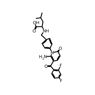 CC(C)CC(NCc1ccc(-n2c(N)c(C(=O)c3ccc(F)cc3F)ccc2=O)cc1)C(=O)O